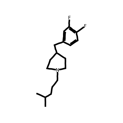 CC(C)CCCN1CCC(Cc2ccc(F)c(F)c2)CC1